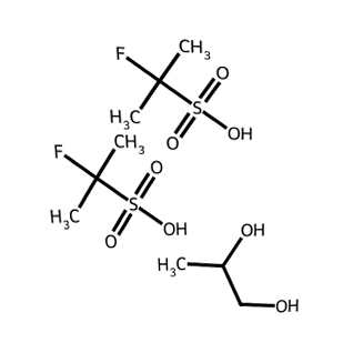 CC(C)(F)S(=O)(=O)O.CC(C)(F)S(=O)(=O)O.CC(O)CO